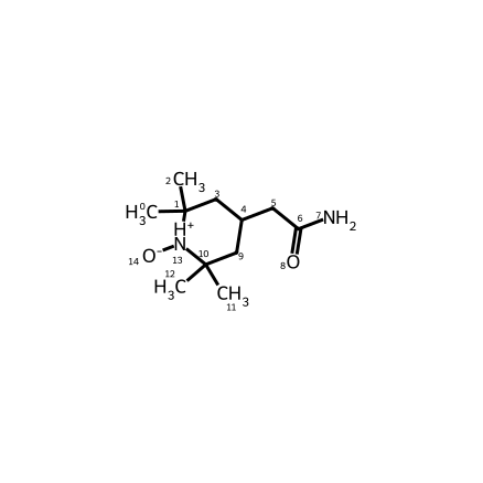 CC1(C)CC(CC(N)=O)CC(C)(C)[NH+]1[O-]